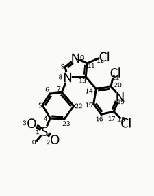 CS(=O)(=O)c1ccc(-n2cnc(Cl)c2-c2ccc(Cl)nc2Cl)cc1